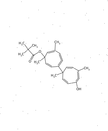 CC1=C=C(O)/C=C\C(C)(C2=C=C/C(C)=C\C(C)(OC(=O)C(C)(C)C)/C=C\2)/C=C\1